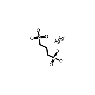 O=S(=O)([O-])CCCS(=O)(=O)[O-].[Ag+].[Ag+]